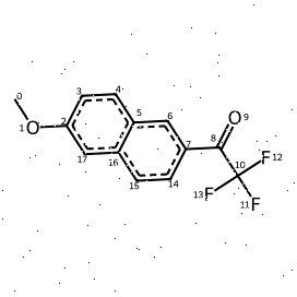 COc1ccc2cc(C(=O)C(F)(F)F)ccc2c1